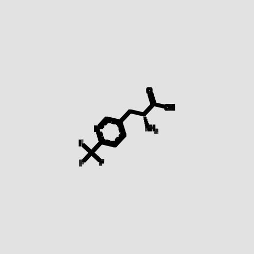 N[C@H](Cc1ccc(C(F)(F)F)nc1)C(=O)O